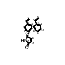 C=Cc1ccccc1.C=Cc1ccccc1.O=C1C=CC(=O)N1